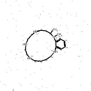 CC1CCNCCNCCNCCCCNc2ccccc2N1C